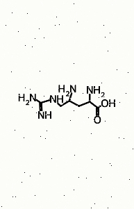 N=C(N)NCC(N)CC(N)C(=O)O